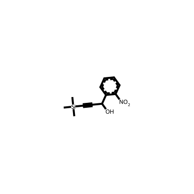 C[Si](C)(C)C#CC(O)c1ccccc1[N+](=O)[O-]